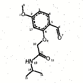 COc1ccc(C=O)c(OCC(=O)NC(C)C)c1